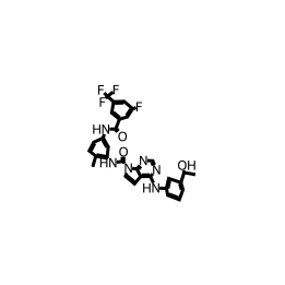 Cc1ccc(NC(=O)c2cc(F)cc(C(F)(F)F)c2)cc1NC(=O)n1ccc2c(Nc3cccc(C(C)O)c3)ncnc21